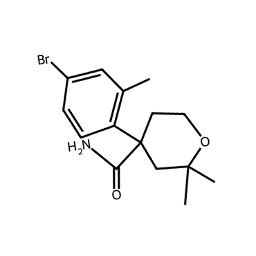 Cc1cc(Br)ccc1C1(C(N)=O)CCOC(C)(C)C1